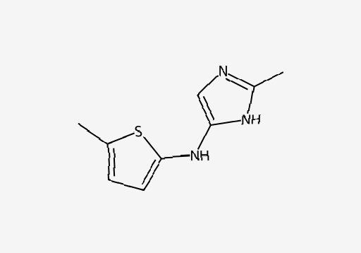 Cc1ncc(Nc2ccc(C)s2)[nH]1